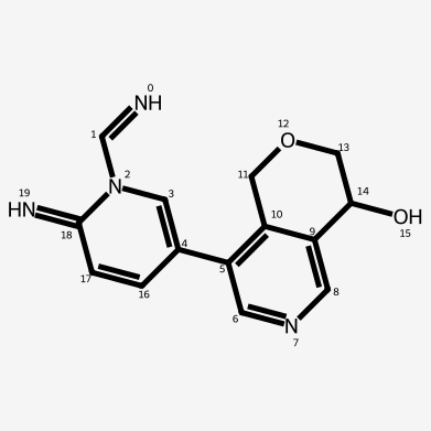 N=Cn1cc(-c2cncc3c2COCC3O)ccc1=N